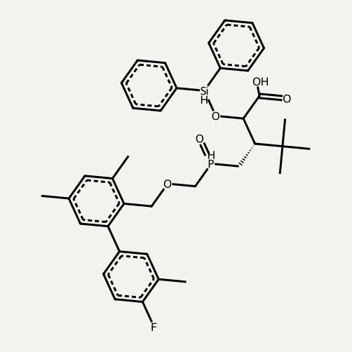 Cc1cc(C)c(COC[PH](=O)C[C@H](C(O[SiH](c2ccccc2)c2ccccc2)C(=O)O)C(C)(C)C)c(-c2ccc(F)c(C)c2)c1